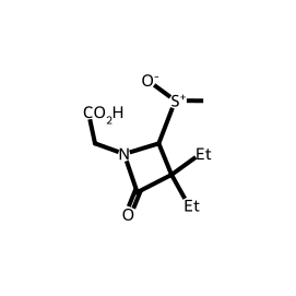 CCC1(CC)C(=O)N(CC(=O)O)C1[S+](C)[O-]